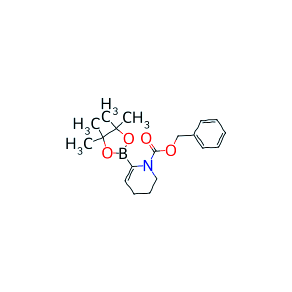 CC1(C)OB(C2=CCCCN2C(=O)OCc2ccccc2)OC1(C)C